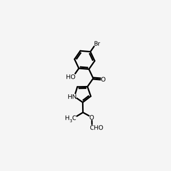 CC(OC=O)c1cc(C(=O)c2cc(Br)ccc2O)c[nH]1